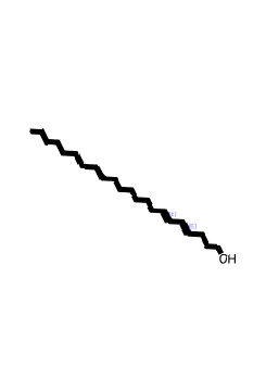 CCCCCCCCCCCCCCC/C=C/C=C/CCCO